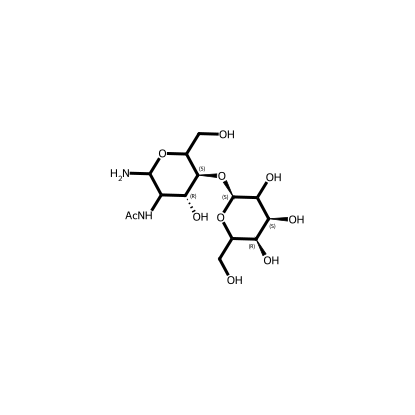 CC(=O)NC1C(N)OC(CO)[C@@H](O[C@@H]2OC(CO)[C@H](O)[C@H](O)C2O)[C@@H]1O